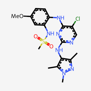 COc1ccc(Nc2nc(Nc3c(C)nn(C)c3C)ncc2Cl)c(NS(C)(=O)=O)c1